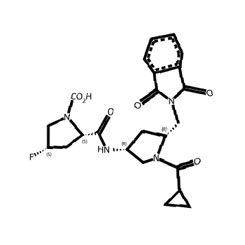 O=C(N[C@@H]1C[C@H](CN2C(=O)c3ccccc3C2=O)N(C(=O)C2CC2)C1)[C@@H]1C[C@H](F)CN1C(=O)O